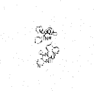 COC(=O)[C@H](Cc1ccc(-n2c(=O)[nH]c3cnccc3c2=O)c2ncccc12)NC(c1ccccc1)(c1ccccc1)c1ccccc1